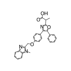 CC(C(=O)O)c1nc(-c2ccc(OCc3nc4ccccc4n3C)cc2)c(-c2ccccc2)o1